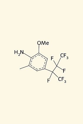 COc1cc(C(F)(C(F)(F)F)C(F)(F)C(F)(F)F)cc(C)c1N